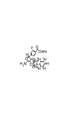 [2H]c1c([2H])c([2H])c(C([2H])([2H])S(=O)(=O)OC2=C(N)O[C@]([2H])(c3ccc(C(=O)OC)c(F)c3)C2=O)c([2H])c1[2H]